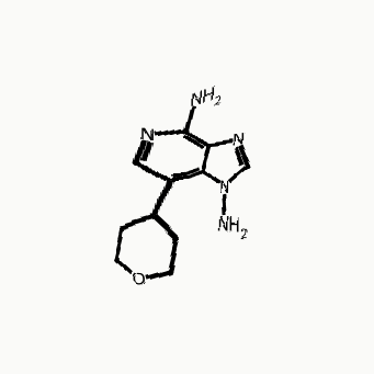 Nc1ncc(C2CCOCC2)c2c1ncn2N